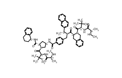 CN[C@@H](C)C(=O)N[C@H](C(=O)N1C[C@@H](NC(=O)c2ccc(CN(C(=O)[C@@H]3Cc4ccccc4CN3C(=O)[C@@H](NC(=O)[C@H](C)NC)C(C)(C)C)[C@H](C)c3ccc4ccccc4c3)cc2)C[C@H]1C(=O)N[C@@H]1CCCc2ccccc21)C(C)(C)C